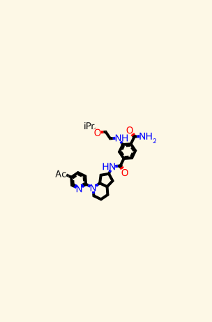 CC(=O)c1ccc(N2CCCC3CC(NC(=O)c4ccc(C(N)=O)c(NCCOC(C)C)c4)CC32)nc1